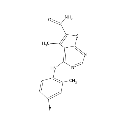 Cc1cc(F)ccc1Nc1ncnc2sc(C(N)=O)c(C)c12